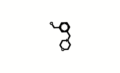 [O]Cc1cccc(CN2CCOCC2)c1